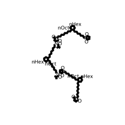 C=C(C)C(=O)N(CCCCCCCCC1C(CCCCCCCCN(C(=O)C(=C)C)C2CC(=O)N(CCCCCCCCC3C(CCCCCCCN4C(=O)C=CC4=O)CCC(CCCCCC)C3CCCCCCCC)C2=O)CCC(CCCCCC)C1CCCCCCCC)C1=CC(=O)N(CCCCCCCCC2C(CCCCCCCCN3C(=O)C=CC3=O)CCC(CCCCCC)C2CCCCCCCC)C1=O